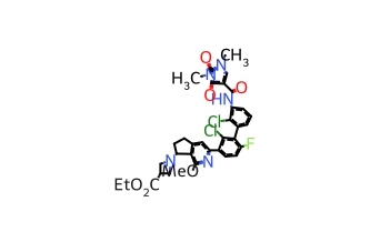 CCOC(=O)C1CN([C@H]2CCc3cc(-c4ccc(F)c(-c5cccc(NC(=O)c6cn(C)c(=O)n(C)c6=O)c5Cl)c4Cl)nc(OC)c32)C1